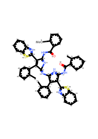 COc1ccccc1C(=O)NC1=N/C(=N\c2[nH]c(NC(=O)c3ccccc3C)c(-c3nc4ccccc4s3)c2-c2ccccc2C)C(c2ccccc2C)=C1c1nc2ccccc2s1